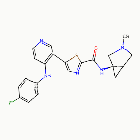 N#CN1CC2C[C@]2(NC(=O)c2ncc(-c3cnccc3Nc3ccc(F)cc3)s2)C1